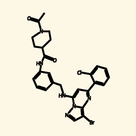 CC(=O)N1CCC(C(=O)Nc2cccc(CNc3cc(-c4ccccc4Cl)nc4c(Br)cnn34)c2)CC1